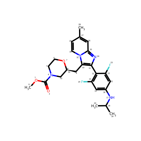 COC(=O)N1CCO[C@@H](Cc2c(-c3c(F)cc(NC(C)C)cc3F)nc3cc(C)ccn23)C1